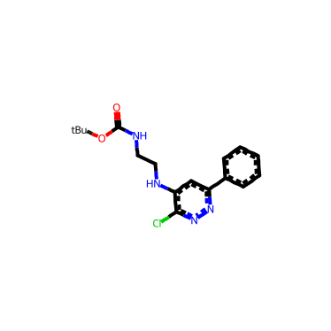 CC(C)(C)OC(=O)NCCNc1cc(-c2ccccc2)nnc1Cl